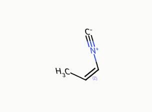 [C-]#[N+]/C=C\C